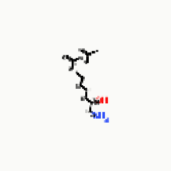 C=C(C)C.C=C(C)C.CCCCCC(O)CN